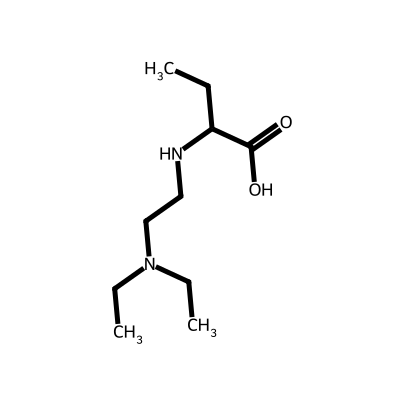 CCC(NCCN(CC)CC)C(=O)O